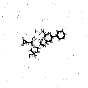 Nc1nc(-c2ccccc2)cc2nc([C@@H]3CC(F)(F)CN3C(=O)C3CC3)nn12